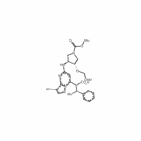 COCO[C@H]1CN(C(=O)OC(C)(C)C)C[C@@H]1Nc1cc(N(C(=O)O)C(c2ccccc2)C(C)(C)C)n2ncc(C(C)C)c2n1